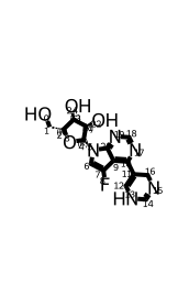 OC[C@H]1O[C@@H](n2cc(F)c3c(C4=CNC=NC4)ncnc32)[C@H](O)[C@@H]1O